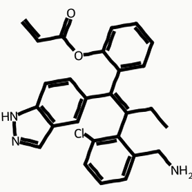 C=CC(=O)Oc1ccccc1/C(=C(\CC)c1c(Cl)cccc1CN)c1ccc2[nH]ncc2c1